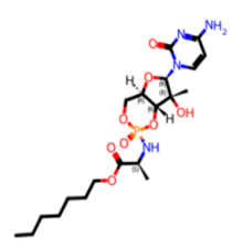 CCCCCCCOC(=O)[C@H](C)NP1(=O)OC[C@H]2O[C@@H](n3ccc(N)nc3=O)[C@](C)(O)[C@@H]2O1